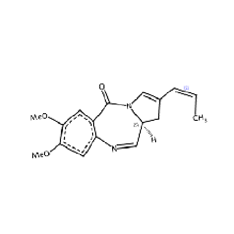 C/C=C\C1=CN2C(=O)c3cc(OC)c(OC)cc3N=C[C@@H]2C1